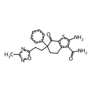 Cc1noc(CCC2(c3ccccc3)CCc3c(sc(N)c3C(N)=O)C2=O)n1